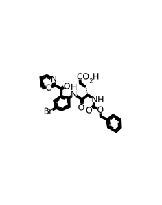 O=C(O)CC[C@H](NC(=O)OCc1ccccc1)C(=O)Nc1ccc(Br)cc1C(=O)c1ccccn1